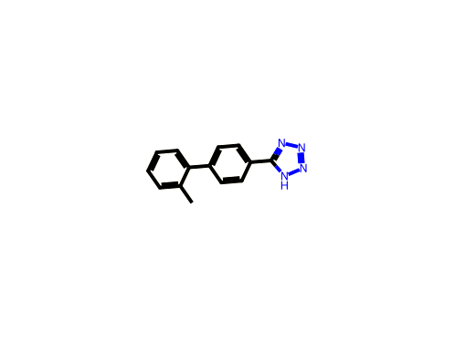 Cc1ccccc1-c1ccc(-c2nnn[nH]2)cc1